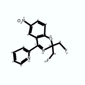 O=[N+]([O-])c1ccc2c(c1)C(c1ccccn1)=NC(CF)(CF)O2